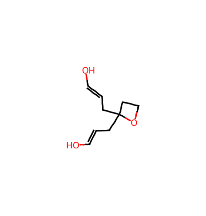 OC=CCC1(CC=CO)CCO1